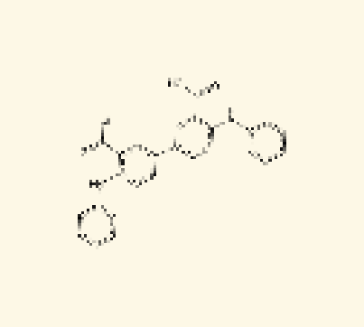 O=C(O)c1cc(-c2ccc(Nc3ccccc3)c(C(=O)O)c2)ccc1Nc1ccccc1